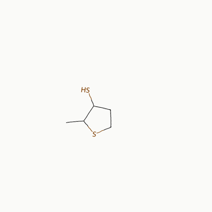 CC1SCCC1S